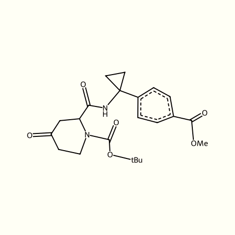 COC(=O)c1ccc(C2(NC(=O)C3CC(=O)CCN3C(=O)OC(C)(C)C)CC2)cc1